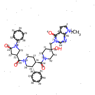 Cn1ccc2c(=O)n(CC3(O)CCN(C(=O)[C@@H]4CCN(C(=O)C5CC(=O)N(c6ccccc6)C5)C[C@H]4c4ccccc4)CC3)cnc21